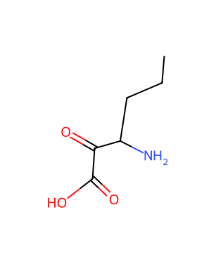 CCCC(N)C(=O)C(=O)O